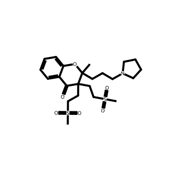 CC1(CCCN2CCCC2)Oc2ccccc2C(=O)C1(CCS(C)(=O)=O)CCS(C)(=O)=O